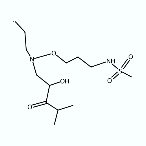 [CH2]CCN(CC(O)C(=O)C(C)C)OCCCNS(C)(=O)=O